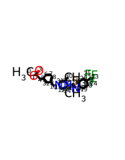 COC(=O)Cc1cccc(CN2CC(C)N(c3nc4ccc(C(F)(F)F)cc4s3)C(C)C2)c1